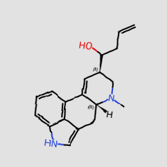 C=CCC(O)[C@@H]1C=C2c3cccc4[nH]cc(c34)C[C@H]2N(C)C1